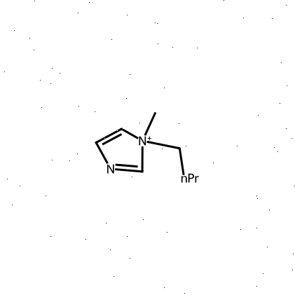 CCCC[N+]1(C)C=CN=C1